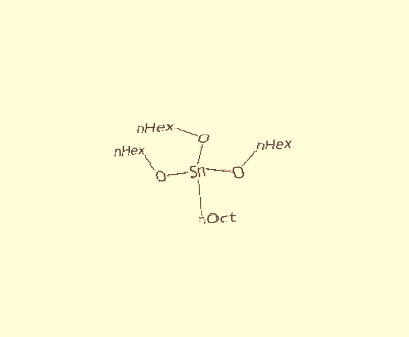 CCCCCCC[CH2][Sn]([O]CCCCCC)([O]CCCCCC)[O]CCCCCC